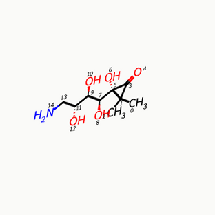 CC1(C)C(=O)[C@]1(O)[C@@H](O)[C@H](O)[C@H](O)CN